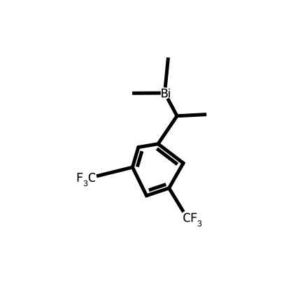 C[CH](c1cc(C(F)(F)F)cc(C(F)(F)F)c1)[Bi]([CH3])[CH3]